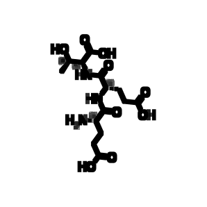 C[C@@H](O)[C@H](NC(=O)[C@H](CCC(=O)O)NC(=O)[C@@H](N)CCC(=O)O)C(=O)O